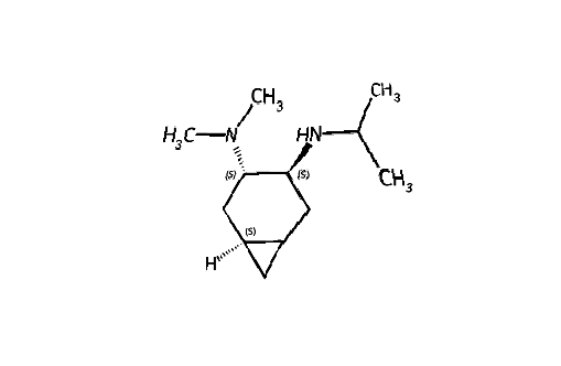 CC(C)N[C@H]1CC2C[C@H]2C[C@@H]1N(C)C